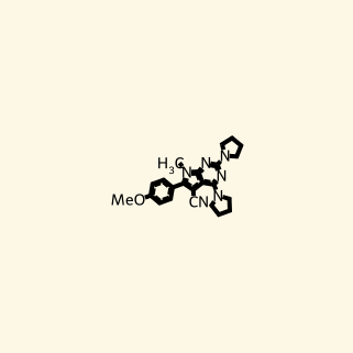 COc1ccc(-c2c(C#N)c3c(N4CCCC4)nc(N4CCCC4)nc3n2C)cc1